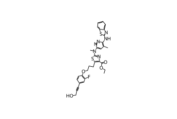 CCOC(=O)c1nc(N(C)c2cc(C)c(Nc3nc4ccccc4s3)nn2)sc1CCCOc1ccc(C#CCO)cc1F